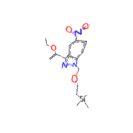 C=C(OCC)c1nn(COCC[Si](C)(C)C)c2ccc([N+](=O)[O-])cc12